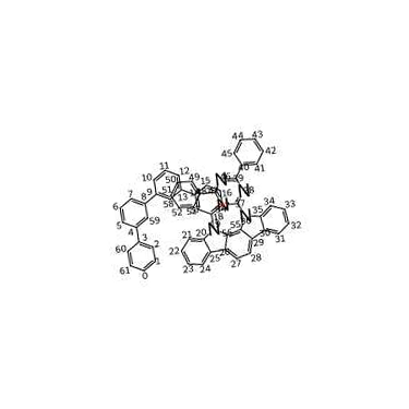 c1ccc(-c2cccc(-c3cccc(-c4cccc(-n5c6ccccc6c6ccc7c8ccccc8n(-c8nc(-c9ccccc9)nc(-c9ccccc9)n8)c7c65)c4)c3)c2)cc1